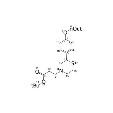 CCCCCCCCOc1ccc(C2CN(CCC(=O)OC(C)(C)C)CCS2)cc1